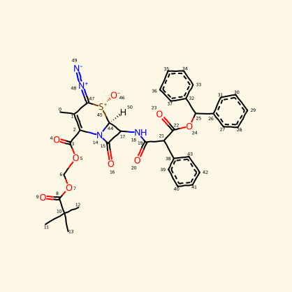 CC1=C(C(=O)OCOC(=O)C(C)(C)C)N2C(=O)C(NC(=O)C(C(=O)OC(c3ccccc3)c3ccccc3)c3ccccc3)[C@@H]2[S@@+]([O-])C1=[N+]=[N-]